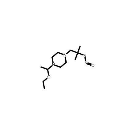 [CH2]COC(C)N1CCN(CC(C)(C)SN=O)CC1